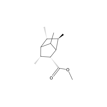 COC(=O)[C@H]1C2C(C)C([C@H]1C)[C@H](C)[C@H]2C